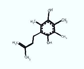 C=C(C)CCc1c(C)c(O)c(C)c(C)c1O